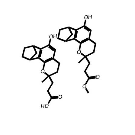 CC1(CCC(=O)O)CCc2cc(O)c3c(c2O1)C1CCC3C1.COC(=O)CCC1(C)CCc2cc(O)c3c(c2O1)C1CCC3C1